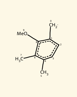 [CH2]c1ccc(C)c(C)c1OC